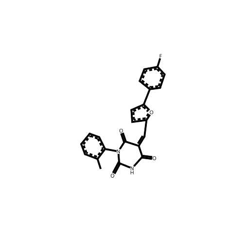 Cc1ccccc1N1C(=O)NC(=O)/C(=C/c2ccc(-c3ccc(F)cc3)o2)C1=O